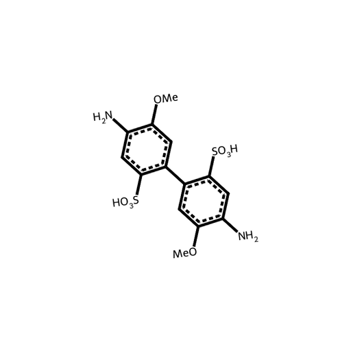 COc1cc(-c2cc(OC)c(N)cc2S(=O)(=O)O)c(S(=O)(=O)O)cc1N